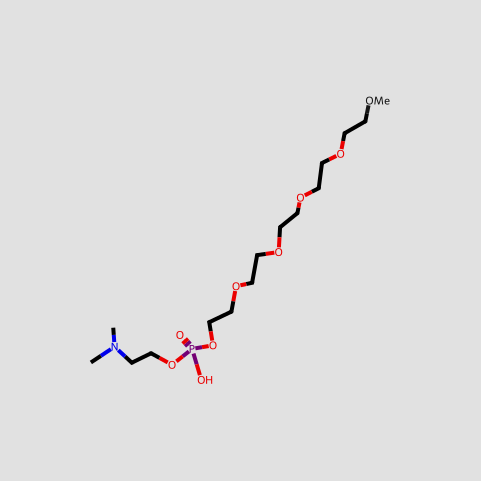 COCCOCCOCCOCCOCCOP(=O)(O)OCCN(C)C